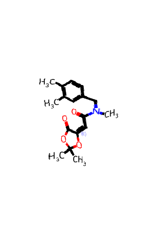 Cc1ccc(CN(C)C(=O)/C=C2/OC(C)(C)OC2=O)cc1C